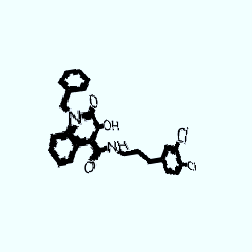 O=C(NCCCc1ccc(Cl)c(Cl)c1)c1c(O)c(=O)n(Cc2ccccc2)c2ccccc12